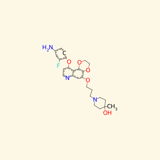 CC1(O)CCN(CCCOc2cc3nccc(Oc4ccc(N)cc4F)c3c3c2OCCO3)CC1